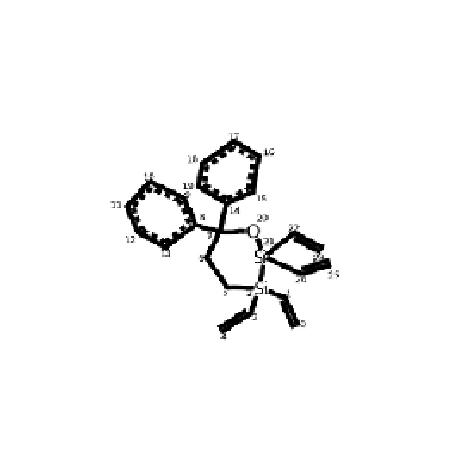 C=C[Si]1(C=C)CCC(c2ccccc2)(c2ccccc2)O[Si]1(C=C)C=C